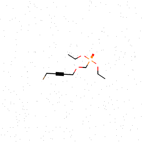 CCOP(=O)(COCC#CCBr)OCC